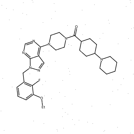 CCOc1cccc(Cn2ncc3c(N4CCN(C(=O)C5CCC(N6CCCCC6)CC5)CC4)ncnc32)c1F